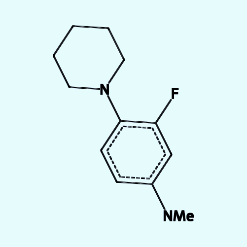 CNc1ccc(N2CCCCC2)c(F)c1